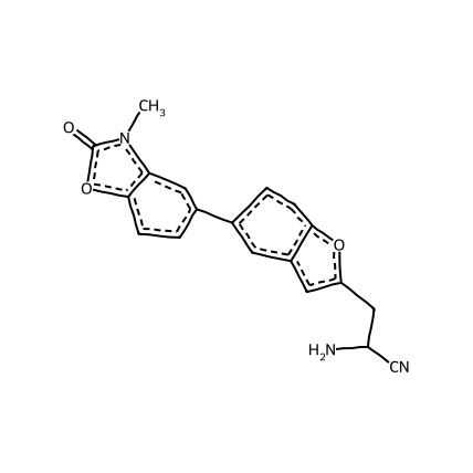 Cn1c(=O)oc2ccc(-c3ccc4oc(CC(N)C#N)cc4c3)cc21